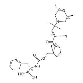 C[C@H]1CN(C(C)(C)/C=C(\C#N)C(=O)N2C3CCC2(COC(=O)N[C@@H](Cc2ccccc2)B(O)O)CC3)C[C@H](C)O1